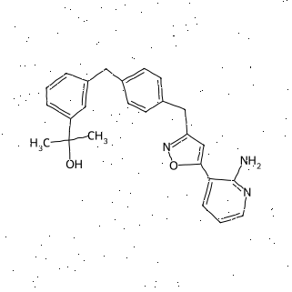 CC(C)(O)c1cccc(Cc2ccc(Cc3cc(-c4cccnc4N)on3)cc2)c1